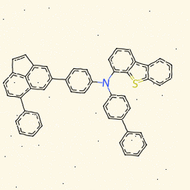 C1=Cc2cc(-c3ccc(N(c4ccc(-c5ccccc5)cc4)c4cccc5c4sc4ccccc45)cc3)cc3c(-c4ccccc4)ccc1c23